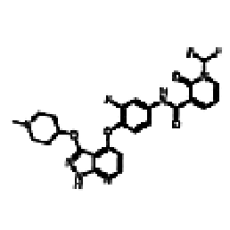 CN1CCC(Oc2n[nH]c3nccc(Oc4ccc(NC(=O)c5cccn(C(F)F)c5=O)cc4F)c23)CC1